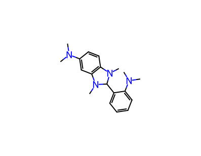 CN(C)c1ccc2c(c1)N(C)C(c1ccccc1N(C)C)N2C